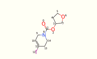 O=C(OC1CCOC1)N1CC=C(I)CC1